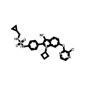 N#Cc1c(-c2ccc(NS(=O)(=O)NCC3CC3)cc2)n(C2CCC2)c2cc(Oc3nccnc3Cl)ccc12